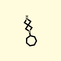 C1CCCC(N2CC3(CNC3)C2)CC1